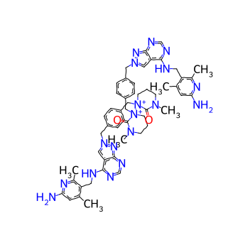 Cc1cc(N)nc(C)c1CNc1ncnc2nn(Cc3ccc(C[N+]4([N+]5(Cc6ccc(Cn7cc8c(NCc9c(C)cc(N)nc9C)ncnc8n7)cc6)CCCN(C)C5=O)CCCN(C)C4=O)cc3)cc12